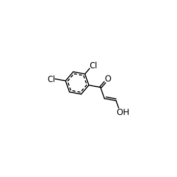 O=C(C=CO)c1ccc(Cl)cc1Cl